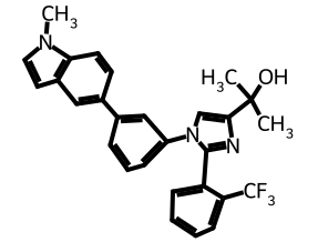 Cn1ccc2cc(-c3cccc(-n4cc(C(C)(C)O)nc4-c4ccccc4C(F)(F)F)c3)ccc21